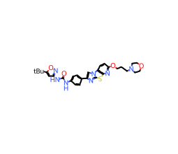 CC(C)(C)c1cc(NC(=O)Nc2ccc(-c3cn4c(n3)sc3nc(OCCCN5CCOCC5)ccc34)cc2)no1